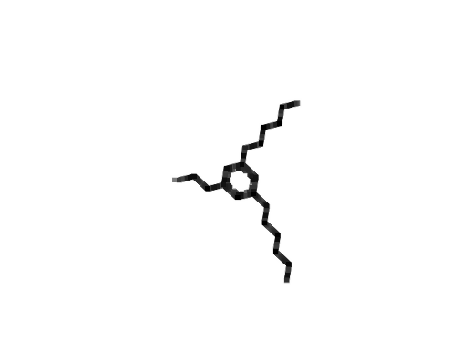 [CH2]CCc1cc(CCCCCC)cc(CCCCCC)c1